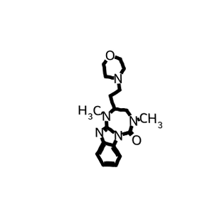 CN1CC(CCN2CCOCC2)N(C)c2nc3ccccc3n2C1=O